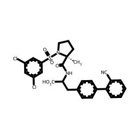 C[C@@]1(C(=O)NC(Cc2ccc(-c3ccccc3C#N)cc2)C(=O)O)CCCN1S(=O)(=O)c1cc(Cl)cc(Cl)c1